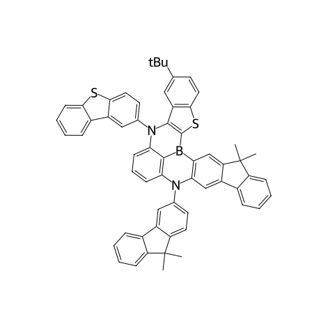 CC(C)(C)c1ccc2sc3c(c2c1)N(c1ccc2sc4ccccc4c2c1)c1cccc2c1B3c1cc3c(cc1N2c1ccc2c(c1)-c1ccccc1C2(C)C)-c1ccccc1C3(C)C